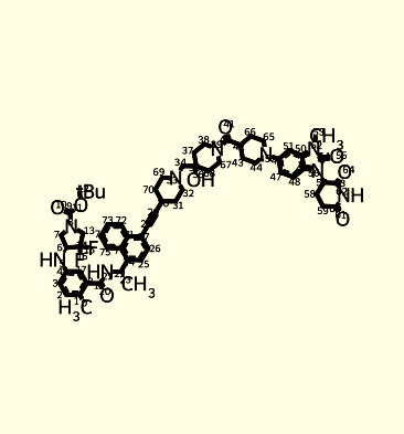 Cc1ccc(N[C@H]2CN(C(=O)OC(C)(C)C)CC2(F)F)cc1C(=O)N[C@H](C)c1ccc(C#CC2CCN(CC3(O)CCN(C(=O)C4CCN(c5ccc6c(c5)n(C)c(=O)n6C5CCC(=O)NC5=O)CC4)CC3)CC2)c2ccccc12